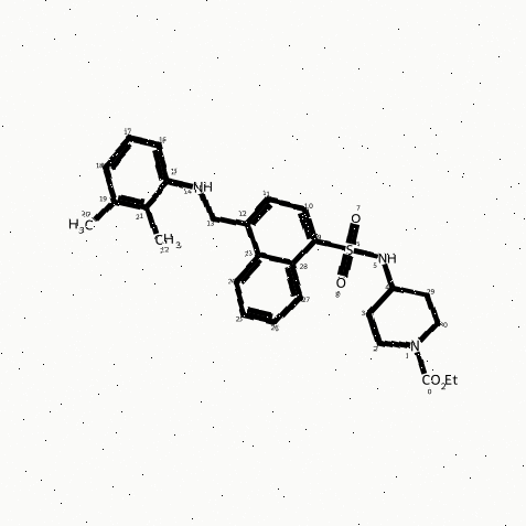 CCOC(=O)N1CCC(NS(=O)(=O)c2ccc(CNc3cccc(C)c3C)c3ccccc23)CC1